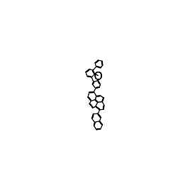 c1ccc(-c2cccc3c2oc2ccc(-c4ccc5ccc6c(-c7ccc8ccccc8c7)ccc7ccc4c5c76)cc23)cc1